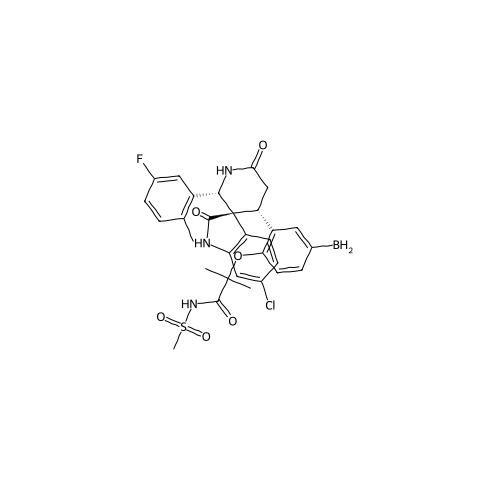 Bc1ccc(OC(C)(C)C(=O)NS(C)(=O)=O)c([C@H]2CC(=O)N[C@@H](c3cc(F)ccc3C)[C@]23C(=O)Nc2cc(Cl)ccc23)c1